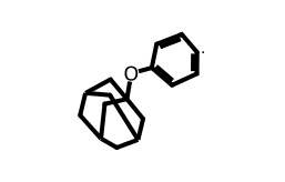 [c]1ccc(OC23CC4CC(CC(C4)C2)C3)cc1